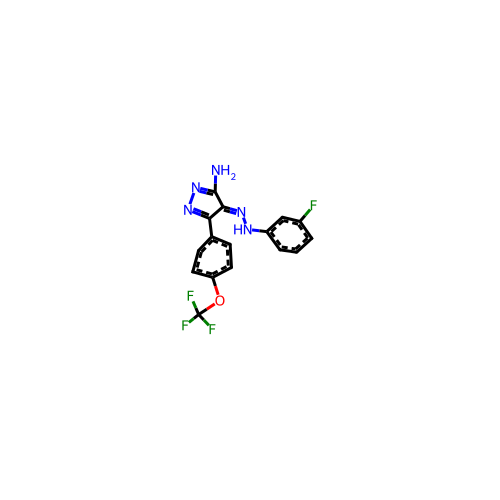 NC1=NN=C(c2ccc(OC(F)(F)F)cc2)/C1=N\Nc1cccc(F)c1